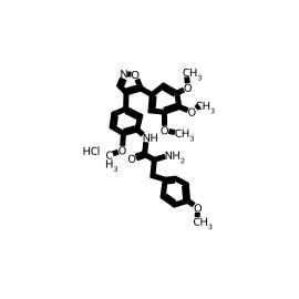 COc1ccc(CC(N)C(=O)Nc2cc(-c3cnoc3-c3cc(OC)c(OC)c(OC)c3)ccc2OC)cc1.Cl